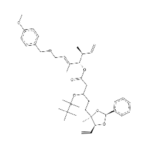 C=C[C@@H]1O[C@H](c2ccccc2)O[C@]1(C)CCC(CC(=O)O[C@H](/C(C)=C/COCc1ccc(OC)cc1)[C@@H](C)C=C)O[Si](C)(C)C(C)(C)C